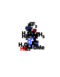 CC/C=C(\NC(C)CO)c1cc(-c2cc(C)c3c(n2)C(C)(C)N(c2cnn(CC(F)(F)F)c2)C3=O)cnc1OC